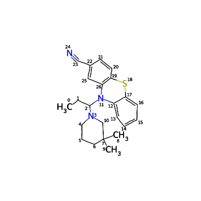 CCC(N1CCCC(C)(C)C1)N1c2ccccc2Sc2ccc(C#N)cc21